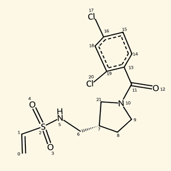 C=CS(=O)(=O)NC[C@H]1CCN(C(=O)c2ccc(Cl)cc2Cl)C1